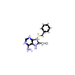 Nc1ncnc2c1NC(C=O)N2SCc1ccccc1